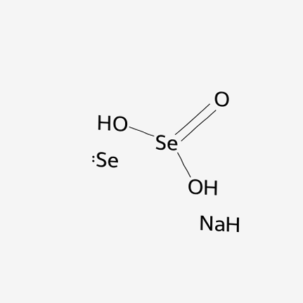 O=[Se](O)O.[NaH].[Se]